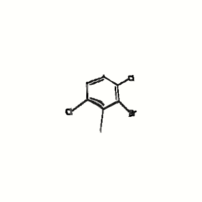 Cc1c(Cl)c[c]c(Cl)c1Br